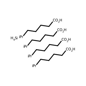 CC(C)CCCCC(=O)O.CC(C)CCCCC(=O)O.CC(C)CCCCC(=O)O.CC(C)CCCCC(=O)O.[SiH4]